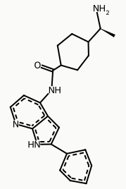 C[C@H](N)C1CCC(C(=O)Nc2ccnc3[nH]c(-c4ccccc4)cc23)CC1